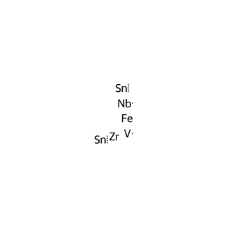 [Fe].[Nb].[Sn].[Sn].[V].[Zr]